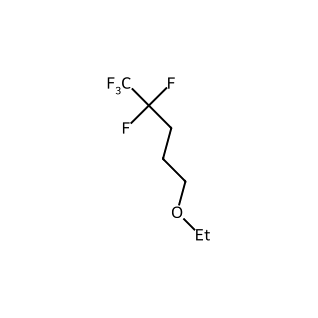 CCOCCCC(F)(F)C(F)(F)F